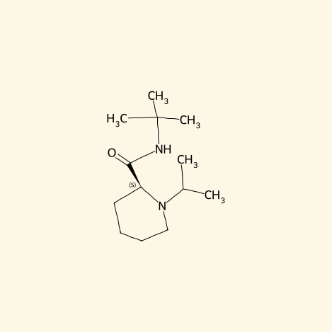 CC(C)N1CCCC[C@H]1C(=O)NC(C)(C)C